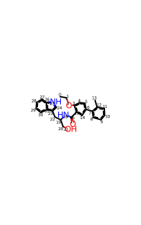 CCOc1ccc(-c2ccccc2C)cc1C(=O)NC(CO)Cc1c[nH]c2ccccc12